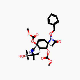 COC(=O)O[C@@H]1[C@H](CC(C)(C)[Si](C)(C)O)[C@](C#N)(OC(=O)OC)C=C[C@]12CC(=O)N2OCc1ccccc1